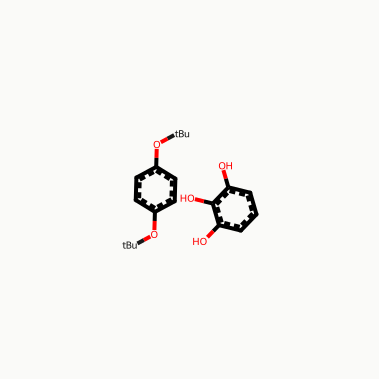 CC(C)(C)Oc1ccc(OC(C)(C)C)cc1.Oc1cccc(O)c1O